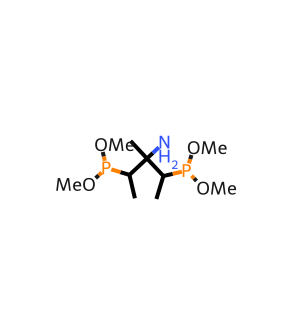 COP(OC)C(C)C(C)(N)C(C)P(OC)OC